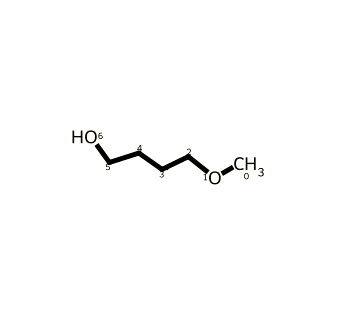 COC[CH]CCO